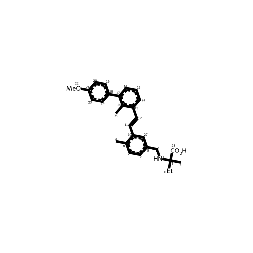 CCC(C)(NCc1ccc(C)c(/C=C/c2cccc(-c3ccc(OC)cc3)c2C)c1)C(=O)O